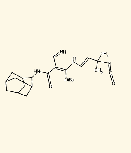 CC(C)CO/C(N/C=C/C(C)(C)N=C=O)=C(/C=N)C(=O)NC1C2CC3CC(C2)CC1C3